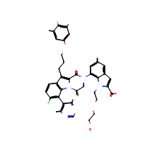 COCCOCCn1c(C(=O)O)cc2cc(C)cc(N3CC(C)n4c(c(CCCOc5cc(C)c(Cl)c(C)c5)c5ccc(Cl)c(-c6c(C)ncnc6C)c54)C3=O)c21